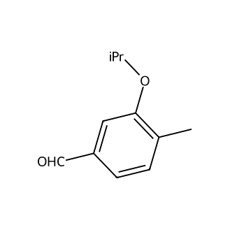 Cc1ccc(C=O)cc1OC(C)C